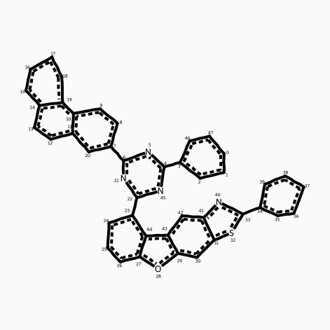 c1ccc(-c2nc(-c3ccc4c(ccc5ccccc54)c3)nc(-c3cccc4oc5cc6sc(-c7ccccc7)nc6cc5c34)n2)cc1